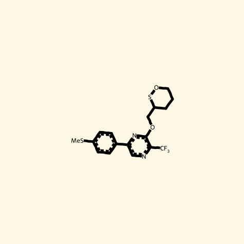 CSc1ccc(-c2cnc(C(F)(F)F)c(OCC3CCCOS3)n2)cc1